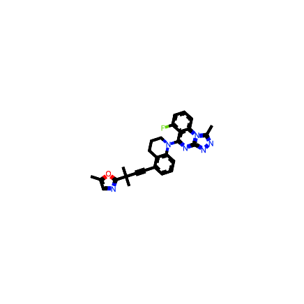 Cc1cnc(C(C)(C)C#Cc2cccc3c2CCCN3c2nc3nnc(C)n3c3cccc(F)c23)o1